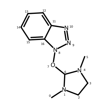 CN1CCN(C)C1On1nnc2ccccc21